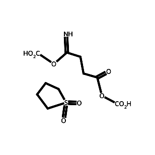 N=C(CCC(=O)OC(=O)O)OC(=O)O.O=S1(=O)CCCC1